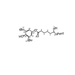 CCCCCC(CCC)CCCCC(=O)Oc1cc(C(C)(C)C)c(O)c(C(C)(C)C)c1